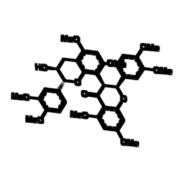 COc1cc(OC)c2c(c1)O[C@H](c1ccc(OC)c(OC)c1)[C@H](c1c(OC)cc(OC)c3c1O[C@H](c1ccc(OC)c(OC)c1)[C@@H](O)C3)C2=O